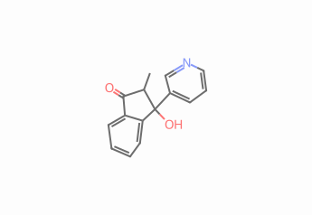 CC1C(=O)c2ccccc2C1(O)c1cccnc1